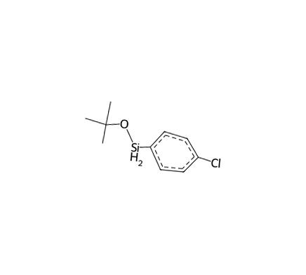 CC(C)(C)O[SiH2]c1ccc(Cl)cc1